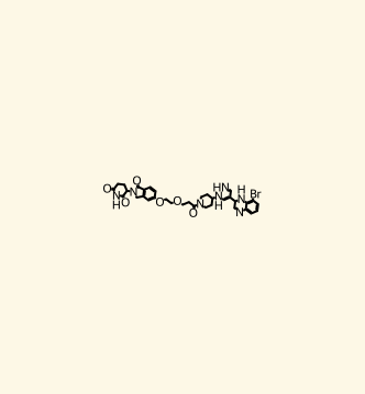 N=C/C(=C\NC1CCN(C(=O)CCOCCOc2ccc3c(c2)CN(C2CCC(=O)NC2=O)C3=O)CC1)C1C=Nc2cccc(Br)c2N1